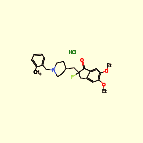 CCOc1cc2c(cc1OCC)C(=O)C(F)(CC1CCN(Cc3ccccc3C)CC1)C2.Cl